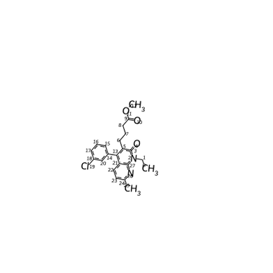 CCn1c(=O)c(CCCC(=O)OC)c(-c2cccc(Cl)c2)c2ccc(C)nc21